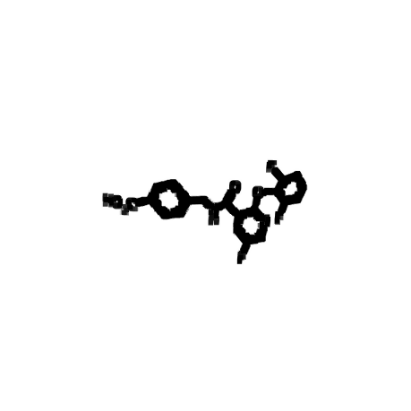 O=C(O)c1ccc(CNC(=O)c2cc(F)cnc2Oc2c(F)cccc2F)cc1